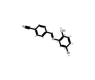 N#Cc1ccc(C=Nc2cc(Br)ccc2O)cc1